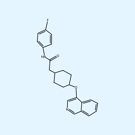 O=C(CC1CCC(Oc2cncc3ccccc23)CC1)Nc1ccc(F)cc1